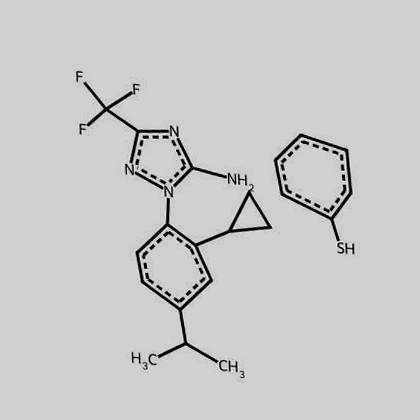 CC(C)c1ccc(-n2nc(C(F)(F)F)nc2N)c(C2CC2)c1.Sc1ccccc1